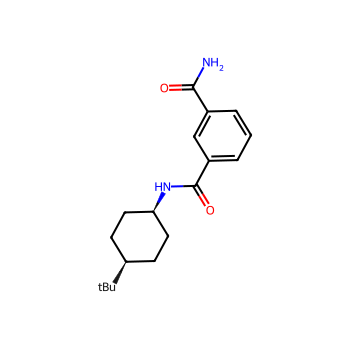 CC(C)(C)[C@H]1CC[C@@H](NC(=O)c2cccc(C(N)=O)c2)CC1